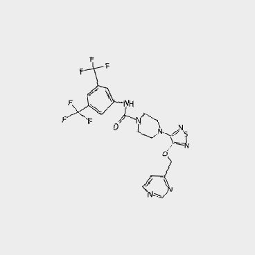 O=C(Nc1cc(C(F)(F)F)cc(C(F)(F)F)c1)N1CCN(c2nsnc2OCc2ccncn2)CC1